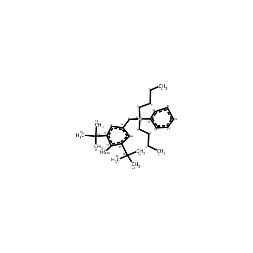 CCCC[Si](CCCC)(Cc1cc(C(C)(C)C)c(S)c(C(C)(C)C)c1)c1ccccc1